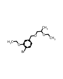 CCOc1cc(COCC(C)OCC)ccc1Br